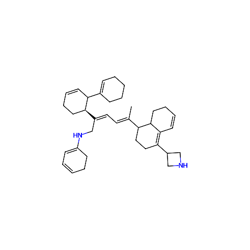 C/C(=C\C=C(/CNC1=CC=CCC1)[C@H]1CCC=CC1C1=CCCCC1)C1CCC(C2CNC2)=C2C=CCCC21